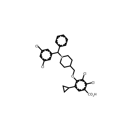 O=C(O)c1cc(C2CC2)c(OCC2CCN(C(c3ccccc3)c3cc(Cl)cc(Cl)c3)CC2)c(Cl)c1Cl